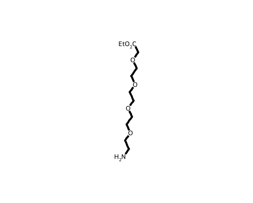 CCOC(=O)COCCOCCOCCOCCN